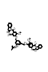 COc1cc2c(cc1OCc1cc(COc3cc4c(cc3OC)C(=O)N3c5ccccc5C[C@H]3SN4)cc(NC(C)C)c1)N=C[C@@H]1Cc3ccccc3N1C2=O